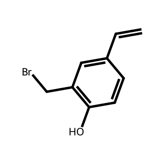 C=Cc1ccc(O)c(CBr)c1